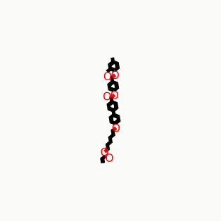 C=CC(=O)OCCCCCCOc1ccc(-c2ccc(C(=O)Oc3ccc(C(=O)Oc4ccc(C)cc4C)cc3)cc2)cc1